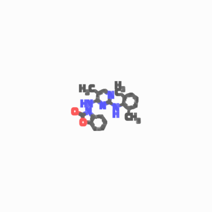 Cc1cnc(Nc2c(C)cccc2C)nc1Nn1c(=O)oc2ccccc21